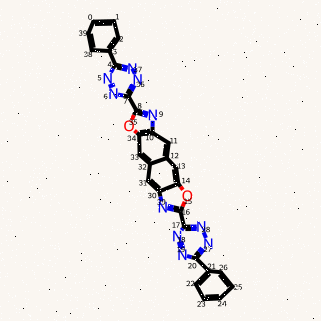 c1ccc(-c2nnc(-c3nc4cc5cc6oc(-c7nnc(-c8ccccc8)nn7)nc6cc5cc4o3)nn2)cc1